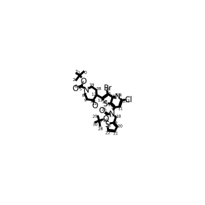 CC(C)(C)OC(=O)N1CCC(=O)C(c2sc3c(N(Cc4cccs4)C(=O)OC(C)(C)C)cc(Cl)nc3c2Br)CC1